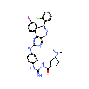 CN(C)C1CCC(C(=O)NC(=N)Nc2ccc(Nc3ncc4c(n3)-c3ccc(I)cc3C(c3ccccc3F)=NC4)cc2)C1